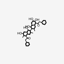 Cc1cc2c(C(=O)Cc3ccccc3)c(C)c(O)cc2c(O)c1-c1c(C)cc2c(C(=O)Cc3ccccc3)c(O)c(O)cc2c1O